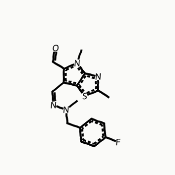 Cc1nc2c(s1)c(/C=N\N(C)Cc1ccc(F)cc1)c(C=O)n2C